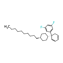 CCCCCCCCCC[C@H]1CC[C@H](C2(c3cc(F)cc(F)c3)C=CC=CC2)CC1